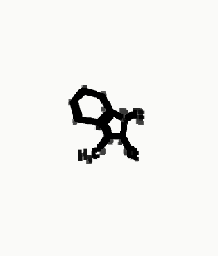 CCC1C(C)C2=C(CCC=C2)N1CC